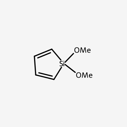 CO[Si]1(OC)C=CC=C1